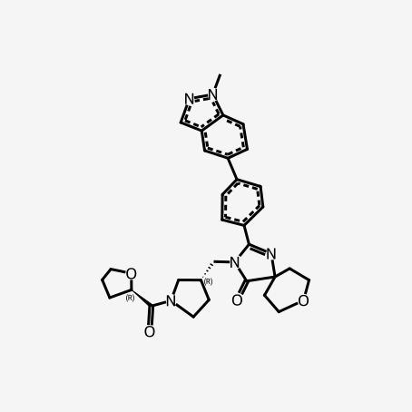 Cn1ncc2cc(-c3ccc(C4=NC5(CCOCC5)C(=O)N4C[C@@H]4CCN(C(=O)[C@H]5CCCO5)C4)cc3)ccc21